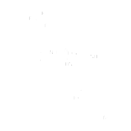 O=C(CNC(=O)c1cccc(C(F)(F)F)c1)N[C@@]1(C2CCC(O)(c3ccc(Br)cc3)CC2)CNC[C@@H]1O